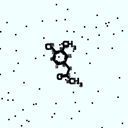 CC(=O)Cc1ccc(Cl)c(C)c1